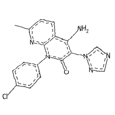 Cc1ccc2c(N)c(-n3cncn3)c(=O)n(-c3ccc(Cl)cc3)c2n1